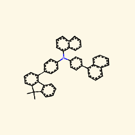 CC1(C)c2ccccc2-c2c(-c3ccc(N(c4ccc(-c5cccc6ccccc56)cc4)c4cccc5ccccc45)cc3)cccc21